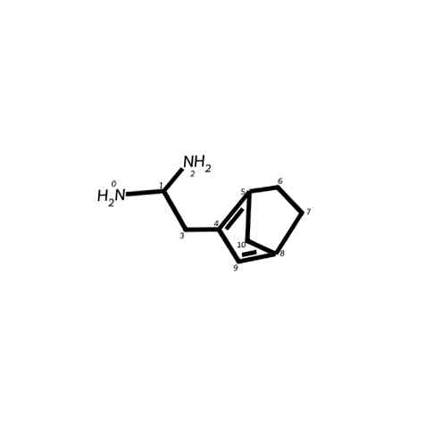 NC(N)CC1=C2CCC(=C1)C2